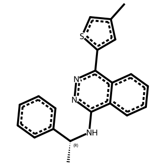 Cc1csc(-c2nnc(N[C@H](C)c3ccccc3)c3ccccc23)c1